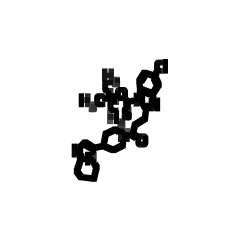 CC(C)(C)OC(=S)n1c(CCC(=O)N2CCC(c3cnc4n3CCCC4)CC2)nc2cc(Cl)ccc21